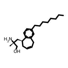 CCCCCCCCc1ccc2c(c1)CC=CC[C@H]2C[C@@](C)(N)CO